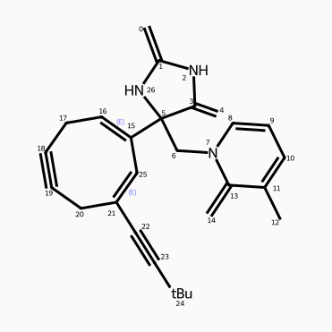 C=C1NC(=C)C(CN2C=CC=C(C)C2=C)(C2=C/CC#CC/C(C#CC(C)(C)C)=C\2)N1